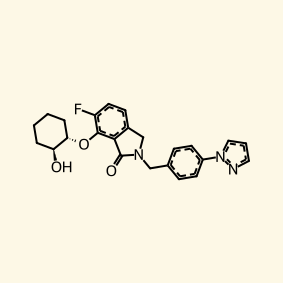 O=C1c2c(ccc(F)c2O[C@H]2CCCC[C@@H]2O)CN1Cc1ccc(-n2cccn2)cc1